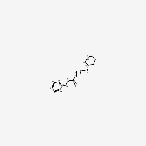 O=C(NCCO[C@H]1CCCNC1)OCc1ccccc1